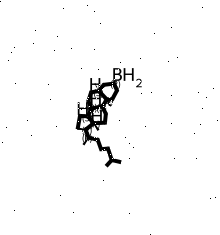 B[C@@H]1CC[C@@]2(C)[C@@H](CC[C@@H]3[C@@H]2CC[C@]2(C)[C@@H]([C@H](C)CCCC(C)C)CC[C@@H]32)C1